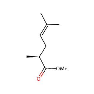 COC(=O)[C@@H](C)CC=C(C)C